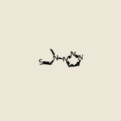 CN([C]=S)n1ccnn1